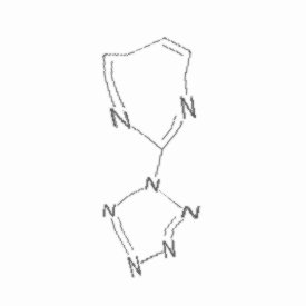 c1cnc(-n2nnnn2)nc1